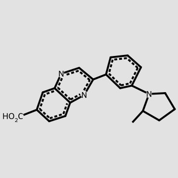 CC1CCCN1c1cccc(-c2cnc3cc(C(=O)O)ccc3n2)c1